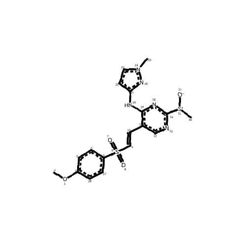 COc1ccc(S(=O)(=O)C=Cc2cnc([S+](C)[O-])nc2Nc2ccn(C)n2)cc1